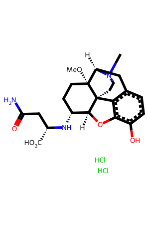 CO[C@@]12CC[C@@H](N[C@@H](CC(N)=O)C(=O)O)[C@@H]3Oc4c(O)ccc5c4[C@@]31CCN(C)[C@@H]2C5.Cl.Cl